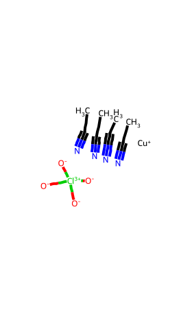 CC#N.CC#N.CC#N.CC#N.[Cu+].[O-][Cl+3]([O-])([O-])[O-]